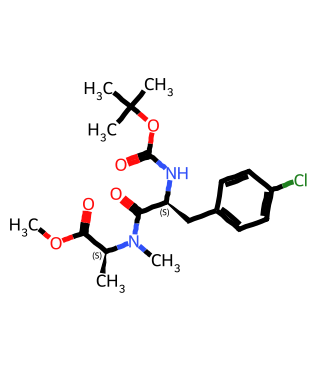 COC(=O)[C@H](C)N(C)C(=O)[C@H](Cc1ccc(Cl)cc1)NC(=O)OC(C)(C)C